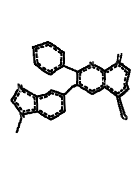 Cn1cnc2cc(-c3cc4c(=O)cc[nH]c4nc3-c3ccccc3)ccc21